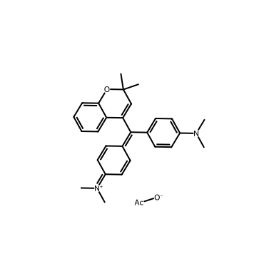 CC(=O)[O-].CN(C)c1ccc(C(C2=CC(C)(C)Oc3ccccc32)=C2C=CC(=[N+](C)C)C=C2)cc1